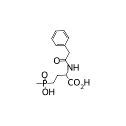 CP(=O)(O)CCC(NC(=O)Cc1ccccc1)C(=O)O